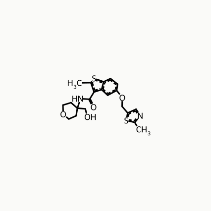 Cc1ncc(COc2ccc3sc(C)c(C(=O)NC4(CO)CCOCC4)c3c2)s1